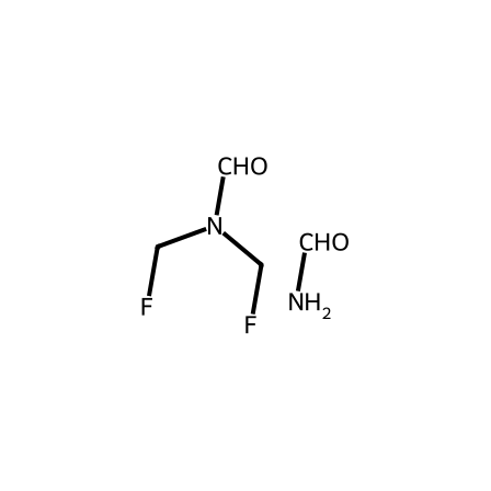 NC=O.O=CN(CF)CF